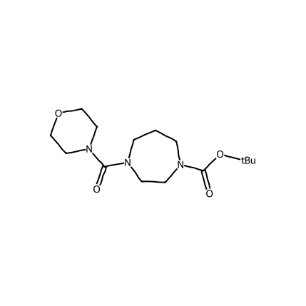 CC(C)(C)OC(=O)N1CCCN(C(=O)N2CCOCC2)CC1